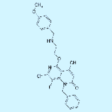 COc1ccc(CNCCOc2nc(Cl)c(F)c3c2c(O)cc(=O)n3Cc2ccccc2)cc1